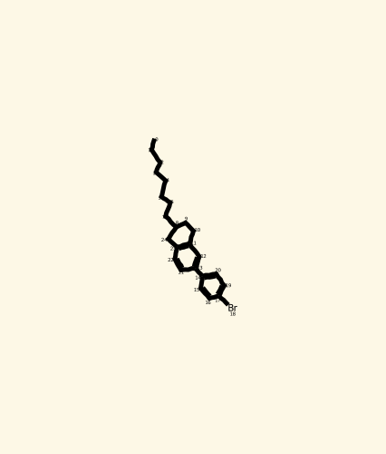 CCCCCCCCC1CCc2cc(-c3ccc(Br)cc3)ccc2C1